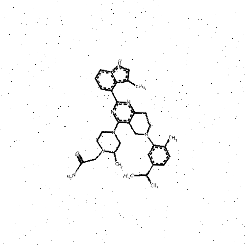 Cc1ccc(C(C)C)cc1N1CCc2nc(-c3cccc4[nH]cc(C)c34)nc(N3CCN(CC(N)=O)C(C)C3)c2C1